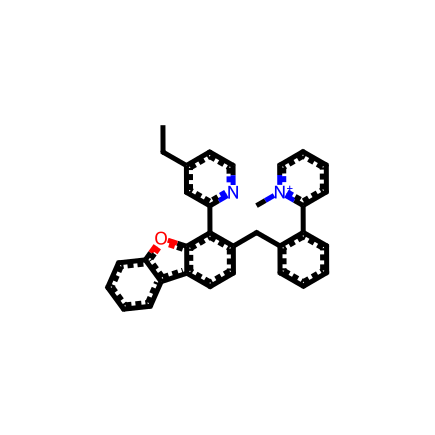 CCc1ccnc(-c2c(Cc3ccccc3-c3cccc[n+]3C)ccc3c2oc2ccccc23)c1